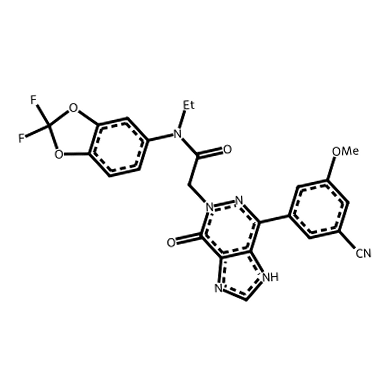 CCN(C(=O)Cn1nc(-c2cc(C#N)cc(OC)c2)c2[nH]cnc2c1=O)c1ccc2c(c1)OC(F)(F)O2